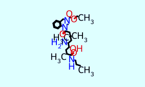 CCCCNC(=O)[C@H](C)C[C@H](O)[C@@H](N)CC(C)(C)CC(=O)N1CN(C(=O)OCC)Cc2ccccc21